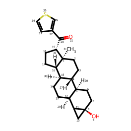 C[C@]12CC[C@@H]3[C@H]4CC[C@]5(O)CC5[C@H]4CC[C@H]3[C@@H]1CC[C@@H]2C(=O)c1ccsc1